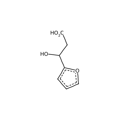 O=C(O)CC(O)c1ccco1